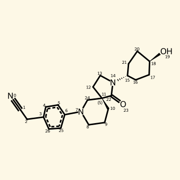 N#CCc1ccc(N2CCC[C@]3(CCN([C@H]4CC[C@H](O)CC4)C3=O)C2)cc1